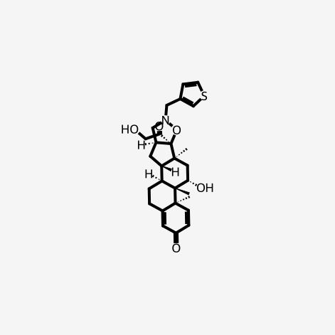 C[C@]12[C@@H](O)C[C@@]3(C)[C@@H](C[C@H]4CN(Cc5ccsc5)O[C@]43C(=O)CO)[C@@H]1CCC1=CC(=O)C=C[C@@]12C